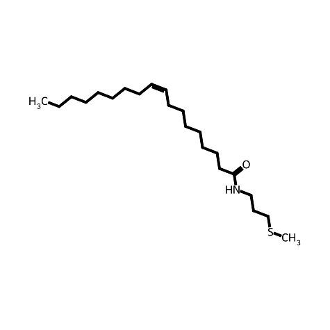 CCCCCCCC/C=C\CCCCCCCC(=O)NCCCSC